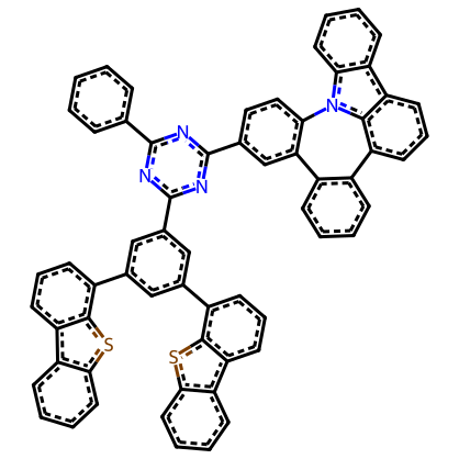 c1ccc(-c2nc(-c3cc(-c4cccc5c4sc4ccccc45)cc(-c4cccc5c4sc4ccccc45)c3)nc(-c3ccc4c(c3)-c3ccccc3-c3cccc5c6ccccc6n-4c35)n2)cc1